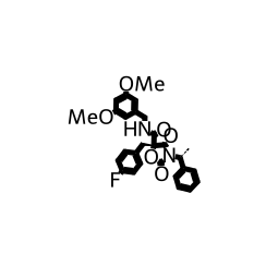 COc1cc(CNC(=O)[C@@]2(Cc3ccc(F)cc3)OC(=O)N([C@H](C)c3ccccc3)C2=O)cc(OC)c1